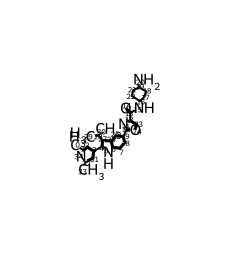 Cc1cc(-c2[nH]c3ccc(-c4nc(C(=O)NC5CCC(N)CC5)co4)cc3c2C(C)C)cc(C)n1